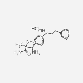 CC(N)(C(N)=O)C(N)c1ccc(CCCc2ccccc2)cc1.Cl.Cl